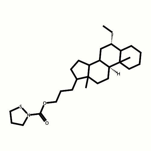 CC[C@H]1CC2C3CCC(CCCOC(=O)N4CCCS4)C3(C)CC[C@@H]2C2(C)CCCCC12